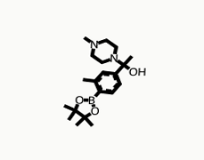 Cc1cc(C(C)(O)N2CCN(C)CC2)ccc1B1OC(C)(C)C(C)(C)O1